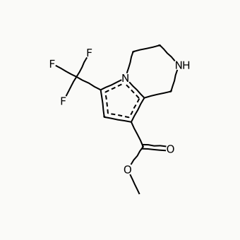 COC(=O)c1cc(C(F)(F)F)n2c1CNCC2